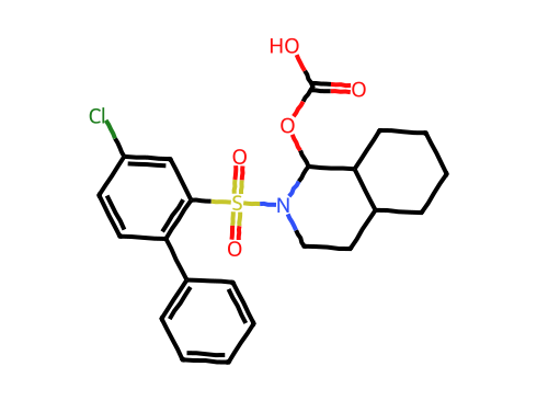 O=C(O)OC1C2CCCCC2CCN1S(=O)(=O)c1cc(Cl)ccc1-c1ccccc1